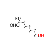 CCC(C=O)CCCCCCO